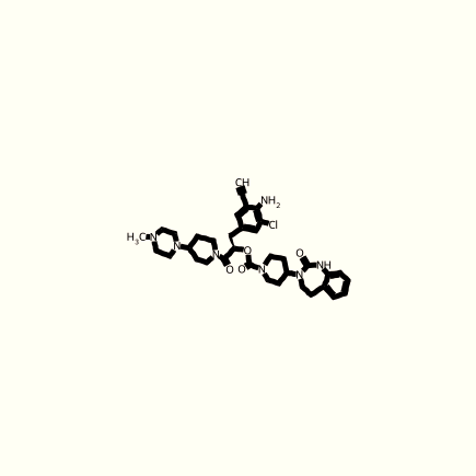 C#Cc1cc(C[C@@H](OC(=O)N2CCC(N3CCc4ccccc4NC3=O)CC2)C(=O)N2CCC(N3CCN(C)CC3)CC2)cc(Cl)c1N